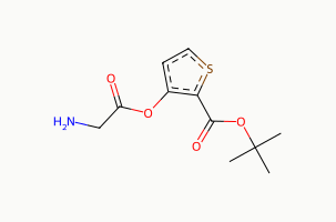 CC(C)(C)OC(=O)c1sccc1OC(=O)CN